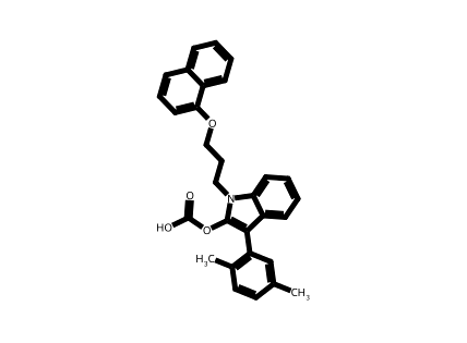 Cc1ccc(C)c(-c2c(OC(=O)O)n(CCCOc3cccc4ccccc34)c3ccccc23)c1